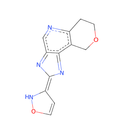 C1=CC(=C2N=c3cnc4c(c3=N2)COCC4)NO1